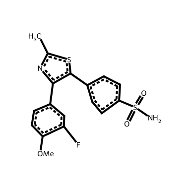 COc1ccc(-c2nc(C)sc2-c2ccc(S(N)(=O)=O)cc2)cc1F